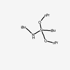 CCCO[Si](NC(C)CC)(OCCC)C(C)CC